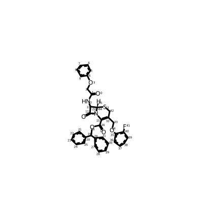 O=C(COc1ccccc1)NC1C(=O)N2C(C(=O)OC(c3ccccc3)c3ccccc3)=C(COc3ccccc3F)CS[C@@H]12